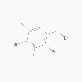 Cc1cc(CBr)c(Br)c(C)c1Br